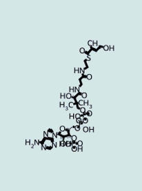 CC(=CCO)C(=O)SCCNC(=O)CCNC(=O)[C@H](O)C(C)(C)COP(=O)(O)OP(=O)(O)OC[C@H]1O[C@@H](n2cnc3c(N)ncnc32)[C@H](O)[C@@H]1OP(=O)(O)O